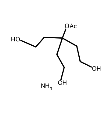 CC(=O)OC(CCO)(CCO)CCO.N